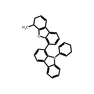 CC1CC=Cc2c1oc1c(-c3cccc4c5ccccc5n(C5=CCCC=C5)c34)cccc21